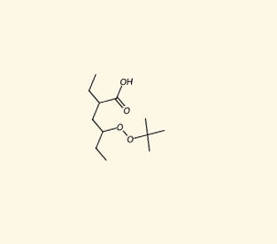 CCC(CC(CC)C(=O)O)OOC(C)(C)C